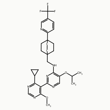 COc1ncnc(C2CC2)c1-c1ncc(OC(C)C)c(NCC23CCC(c4ccc(C(F)(F)F)cn4)(CC2)CC3)n1